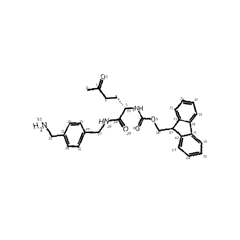 CC(=O)CC[C@H](NC(=O)OCC1c2ccccc2-c2ccccc21)C(=O)NCc1ccc(CN)cc1